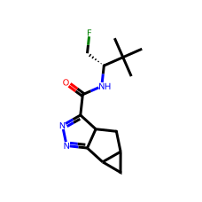 CC(C)(C)[C@@H](CF)NC(=O)C1=NN=C2C1CC1CC21